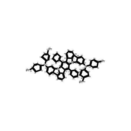 CC(C)c1ccc(N(c2ccc(C(C)C)cc2)c2ccc3c4cccc5c6c(-c7ccccc7)c7c(c(-c8ccccc8)c6n(c3c2)c45)c2cccc3c4ccc(N(c5ccc(C(C)C)cc5)c5ccc(C(C)C)cc5)cc4n7c32)cc1